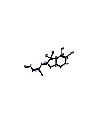 C=C/C=C(I)\C=C1/CC2CCC(I)=C(I)C2C1(C)C